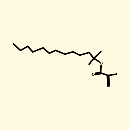 C=C(C)C(=O)OC(C)(C)CCCCCCCCCCC